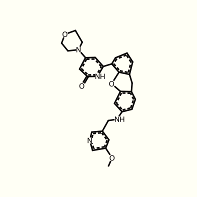 COc1cncc(CNc2ccc3c(c2)Oc2c(cccc2-c2cc(N4CCOCC4)cc(=O)[nH]2)C3)c1